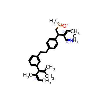 C/C=C(/C)C(=C(C)C)c1cccc(CCc2ccc(C(C[S+](C)[O-])C(/C=N\C)=C/C)cc2)c1